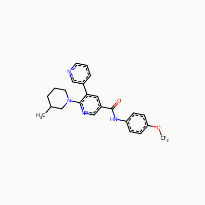 CC1CCCN(c2ncc(C(=O)Nc3ccc(OC(F)(F)F)cc3)cc2-c2cccnc2)C1